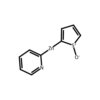 [O-][s+]1ccc[c]1[Zn][c]1ccccn1